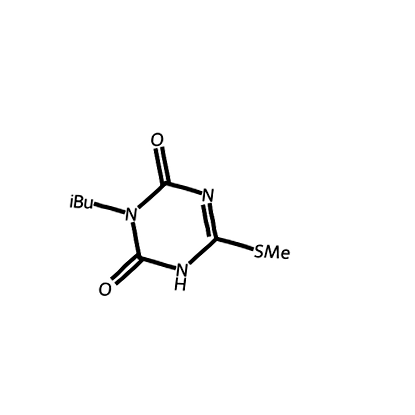 CCC(C)n1c(=O)nc(SC)[nH]c1=O